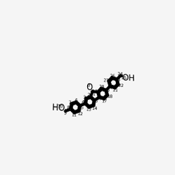 O=C1c2cc(-c3ccc(CO)cc3)ccc2-c2ccc(-c3ccc(CO)cc3)cc21